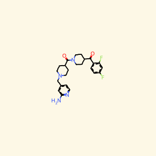 Nc1cc(CN2CCC(C(=O)N3CCC(C(=O)c4ccc(F)cc4F)CC3)CC2)ccn1